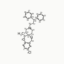 CC1Oc2ccc(Cl)cc2COC12CCN(CCC(c1ccccc1)c1ccccc1)CC2